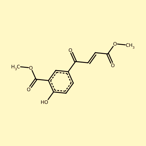 COC(=O)C=CC(=O)c1ccc(O)c(C(=O)OC)c1